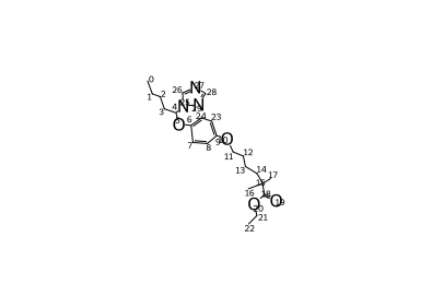 CCCCC(Oc1ccc(OCCCCC(C)(C)C(=O)OCC)cc1)n1cncn1